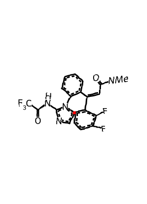 CNC(=O)/C=C(\c1ccccc1-n1ccnc1NC(=O)C(F)(F)F)c1cccc(F)c1F